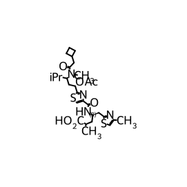 CC(=O)OC(CC(C(C)C)N(C)C(=O)CC1CCC1)c1nc(C(=O)N[C@@H](Cc2nc(C)cs2)CC(C)C(=O)O)cs1